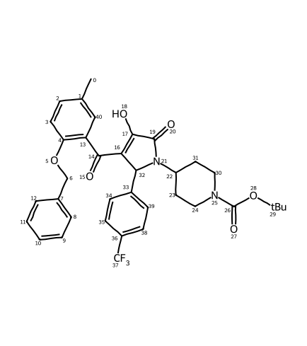 Cc1ccc(OCc2ccccc2)c(C(=O)C2=C(O)C(=O)N(C3CCN(C(=O)OC(C)(C)C)CC3)C2c2ccc(C(F)(F)F)cc2)c1